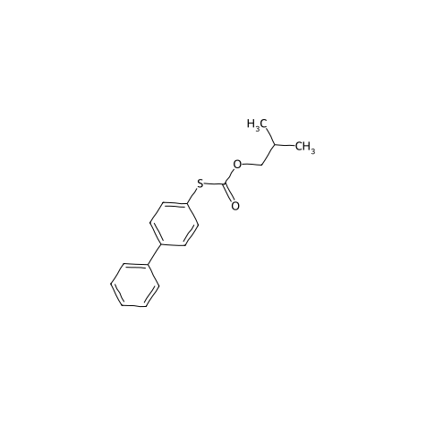 CC(C)COC(=O)Sc1ccc(-c2ccccc2)cc1